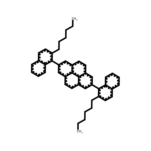 CCCCCCc1ccc2ccccc2c1-c1cc2ccc3cc(-c4c(CCCCCC)ccc5ccccc45)cc4ccc(c1)c2c34